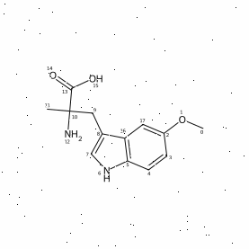 COc1ccc2[nH]cc(CC(C)(N)C(=O)O)c2c1